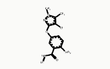 [CH2]CNC(=O)c1cc(Oc2nn(C)c(C(F)(F)F)c2Cl)ccc1[N+](=O)[O-]